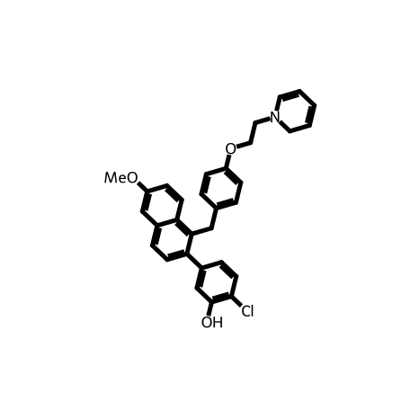 COc1ccc2c(Cc3ccc(OCCN4C=CC=CC4)cc3)c(-c3ccc(Cl)c(O)c3)ccc2c1